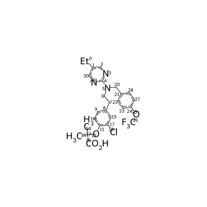 CCc1cnc(N(CCc2ccc(OC(C)(C)C(=O)O)c(Cl)c2)Cc2ccc(OC(F)(F)F)cc2)nc1